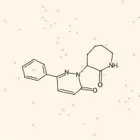 O=C1NCCCCC1n1nc(-c2ccccc2)ccc1=O